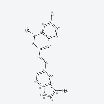 CC(CC(=O)/C=C/c1ccc2[nH]nc(N)c2c1)c1cccc(Cl)c1